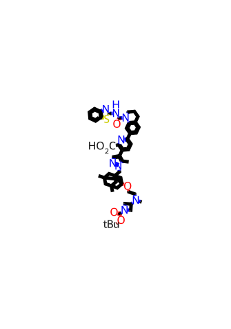 Cc1c(-c2ccc(-c3ccc4c(c3)N(C(=O)Nc3nc5ccccc5s3)CCC4)nc2C(=O)O)cnn1CC12CC3(C)CC(C)(C1)CC(OCCN(C)C1CN(C(=O)OC(C)(C)C)C1)(C3)C2